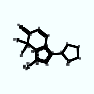 O=C1C=Cc2c(C3CCCO3)cc(C(F)(F)F)n2C1(F)F